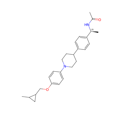 CC(=O)N[C@@H](C)c1ccc(C2CCN(c3ccc(OCC4CC4C)cc3)CC2)cc1